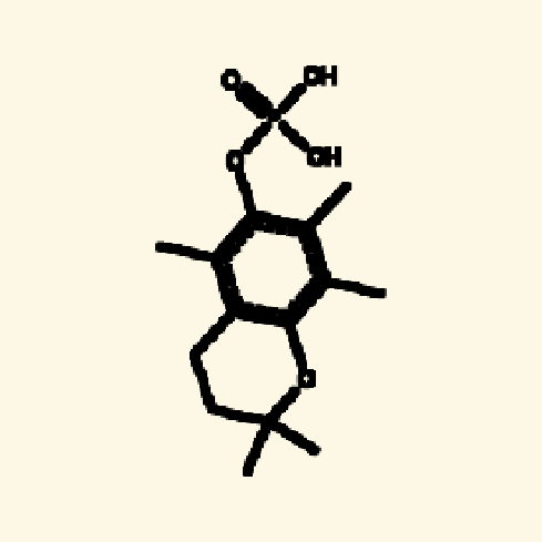 Cc1c(C)c2c(c(C)c1OP(=O)(O)O)CCC(C)(C)O2